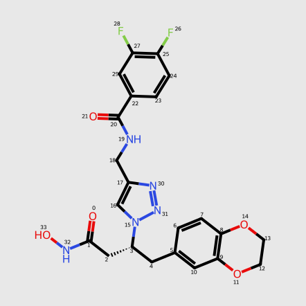 O=C(C[C@@H](Cc1ccc2c(c1)OCCO2)n1cc(CNC(=O)c2ccc(F)c(F)c2)nn1)NO